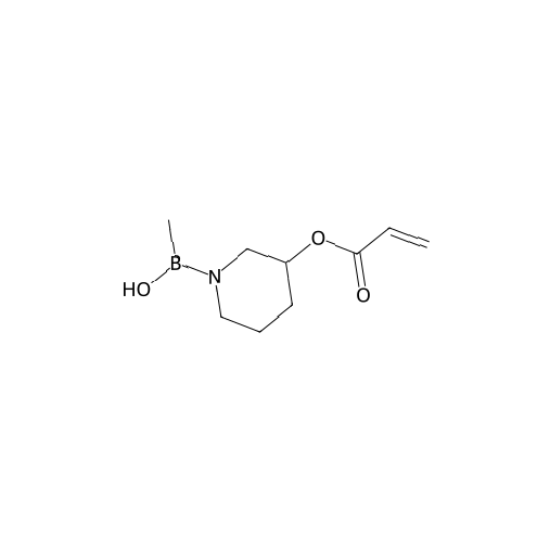 C=CC(=O)OC1CCCN(B(C)O)C1